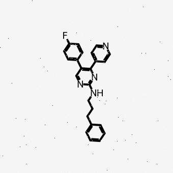 Fc1ccc(-c2cnc(NCCCc3ccccc3)nc2-c2ccncc2)cc1